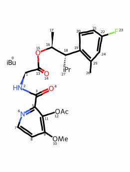 CC[C@H](C)[C@H](NC(=O)c1nccc(OC)c1OC(C)=O)C(=O)O[C@@H](C)[C@H](c1ccc(F)cc1C)C(C)C